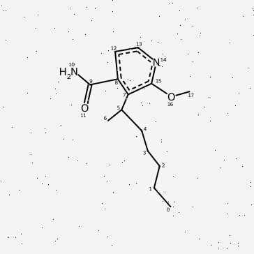 CCCCCC(C)c1c(C(N)=O)ccnc1OC